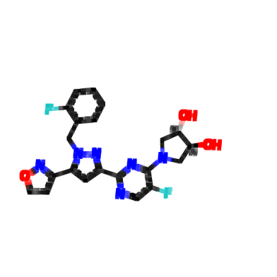 O[C@H]1CN(c2nc(-c3cc(-c4ccon4)n(Cc4ccccc4F)n3)ncc2F)C[C@@H]1O